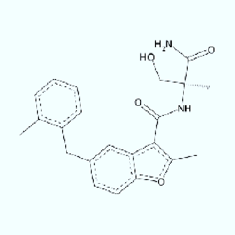 Cc1ccccc1Cc1ccc2oc(C)c(C(=O)N[C@@](C)(CO)C(N)=O)c2c1